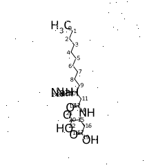 CCCCCCCCCCCCC(=O)N[C@@H](CC(=O)O)C(=O)O.[NaH].[NaH]